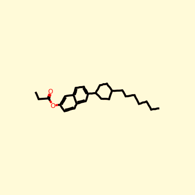 CCCCCCCC1CCC(c2ccc3cc(OC(=O)CC)ccc3c2)CC1